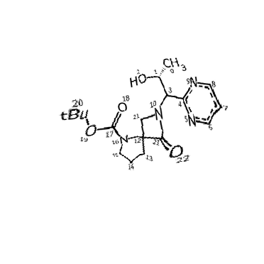 C[C@@H](O)C(c1ncccn1)N1CC2(CCCN2C(=O)OC(C)(C)C)C1=O